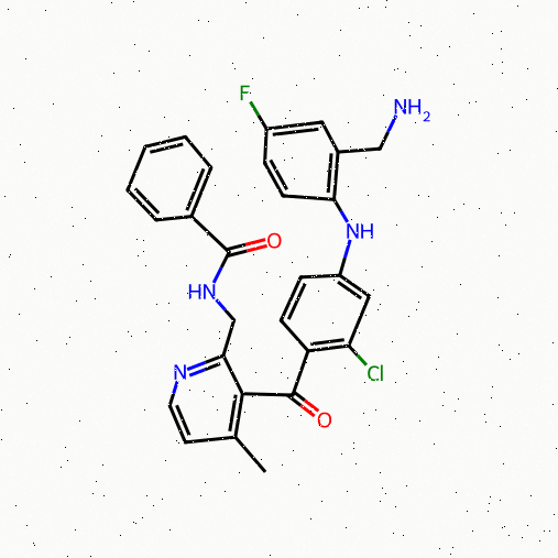 Cc1ccnc(CNC(=O)c2ccccc2)c1C(=O)c1ccc(Nc2ccc(F)cc2CN)cc1Cl